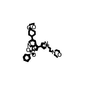 O=S(=O)(c1ccccc1)n1cc(-c2cnn(CCN3CCOCC3)c2)c2cc(C3CCC4(CC3)OCCO4)cnc21